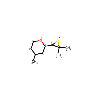 CC1CCO[C@@H](C2SC2(C)C)C1